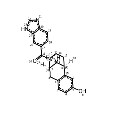 C[C@H]1[C@H]2Cc3ccc(O)cc3[C@@H]1CCN2C(=O)c1ccc2nc[nH]c2c1